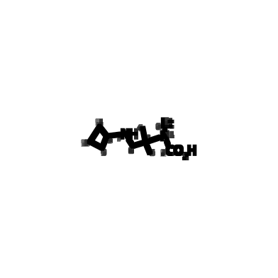 CCN(C(=O)O)C(C)(C)CNC1CCC1